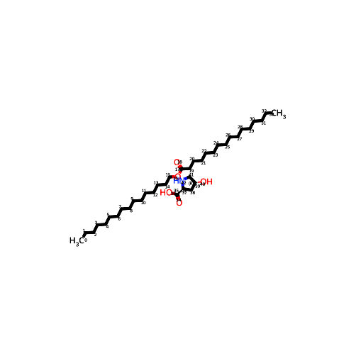 CCCCCCCCCCCCCCCCOC(=O)CCCCCCCCCCCCCCC.O=C(O)[C@@H]1C[C@@H](O)CN1